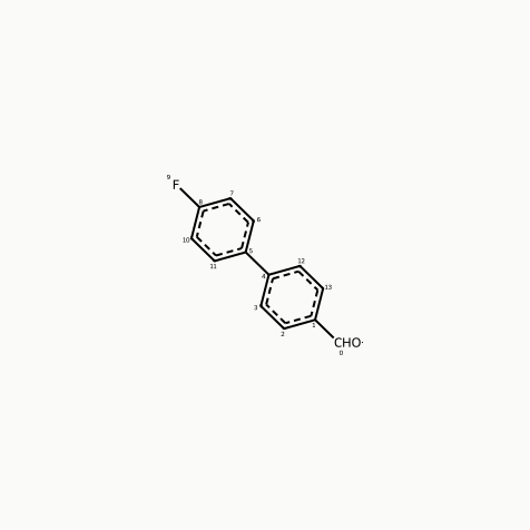 O=[C]c1ccc(-c2ccc(F)cc2)cc1